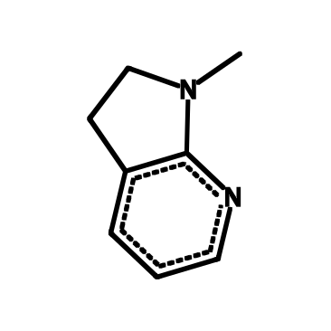 CN1CCc2cccnc21